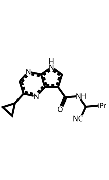 CC(C)C(C#N)NC(=O)c1c[nH]c2ncc(C3CC3)nc12